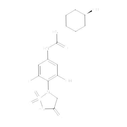 O=C1CN(c2c(O)cc(NC(=O)N[C@H]3CC[C@H](O)CC3)cc2F)S(=O)(=O)N1